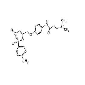 CCOCC(COc1ccc(NC(=O)CC[S+](C)C)cc1)OS(=O)(=O)c1ccc(C)cc1